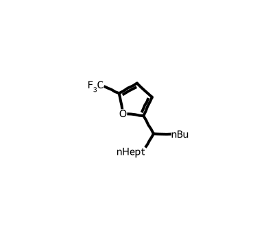 CCCCCCCC(CCCC)c1ccc(C(F)(F)F)o1